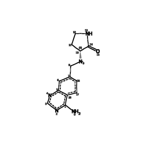 Nc1ncnc2cc(C[N][C@@H]3CCNC3=O)ccc12